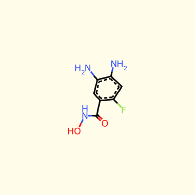 Nc1cc(F)c(C(=O)NO)cc1N